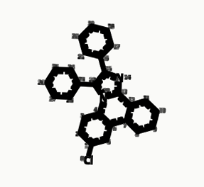 Clc1ccc2c(c1)c1ccccc1c1nc(-c3ccccc3)c(-c3ccccc3)n21